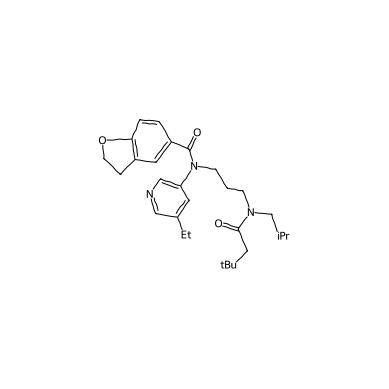 CCc1cncc(N(CCCN(CC(C)C)C(=O)CC(C)(C)C)C(=O)c2ccc3c(c2)CCO3)c1